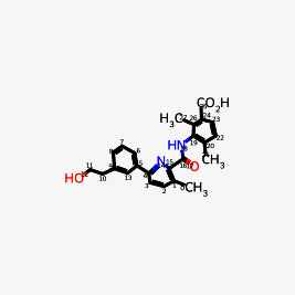 Cc1ccc(-c2cccc(CCO)c2)nc1C(=O)Nc1c(C)ccc(C(=O)O)c1C